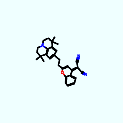 CC1(C)CCN2CCC(C)(C)c3cc(CCC4=CC(=C(C#N)C#N)c5ccccc5O4)cc1c32